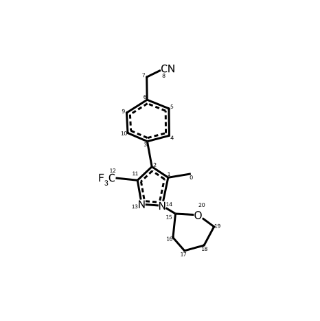 Cc1c(-c2ccc(CC#N)cc2)c(C(F)(F)F)nn1C1CCCCO1